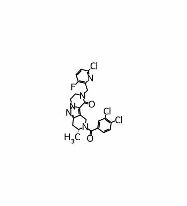 C[C@@H]1Cc2nn3c(c2CN1C(=O)c1ccc(Cl)c(Cl)c1)C(=O)N(Cc1nc(Cl)ccc1F)CC3